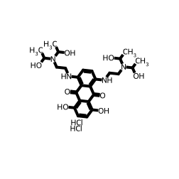 CC(O)N(CCNc1ccc(NCCN(C(C)O)C(C)O)c2c1C(=O)c1c(O)ccc(O)c1C2=O)C(C)O.Cl.Cl